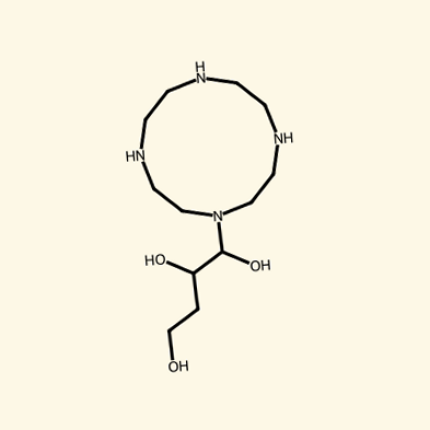 OCCC(O)C(O)N1CCNCCNCCNCC1